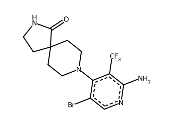 Nc1ncc(Br)c(N2CCC3(CCNC3=O)CC2)c1C(F)(F)F